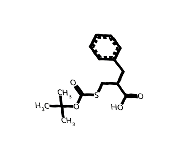 CC(C)(C)OC(=O)SCC(Cc1ccccc1)C(=O)O